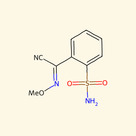 CON=C(C#N)c1ccccc1S(N)(=O)=O